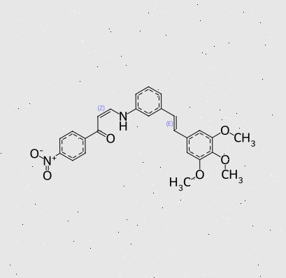 COc1cc(/C=C/c2cccc(N/C=C\C(=O)c3ccc([N+](=O)[O-])cc3)c2)cc(OC)c1OC